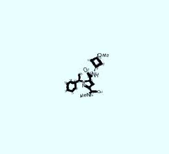 CNC(=O)c1cc(C(=O)N[C@H]2C[C@H](OC)C2)n(C(C)c2ccccc2)n1